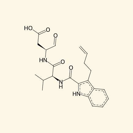 C=CCCc1c(C(=O)N[C@H](C(=O)N[C@H](C=O)CC(=O)O)C(C)C)[nH]c2ccccc12